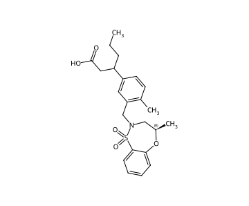 CCCC(CC(=O)O)c1ccc(C)c(CN2C[C@@H](C)Oc3ccccc3S2(=O)=O)c1